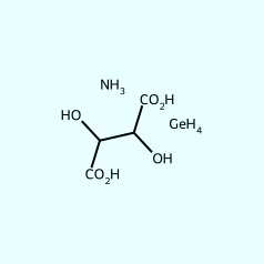 N.O=C(O)C(O)C(O)C(=O)O.[GeH4]